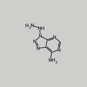 NNn1nnc2c(N)ncnc21